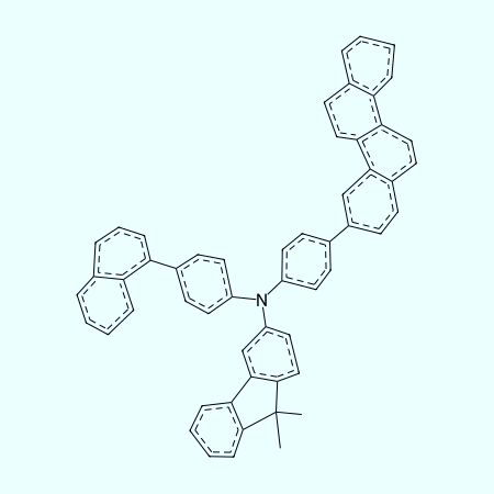 CC1(C)c2ccccc2-c2cc(N(c3ccc(-c4ccc5ccc6c7ccccc7ccc6c5c4)cc3)c3ccc(-c4cccc5ccccc45)cc3)ccc21